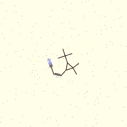 CC(C)(C)C1C(/C=C\C#N)C1(C)C